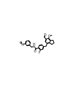 COc1c(C=O)cc(Cc2ccc(C(=O)NCc3cccc(N=O)c3)c(F)c2)c2c1CCC2